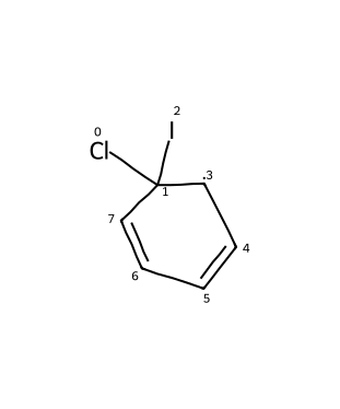 ClC1(I)[CH]C=CC=C1